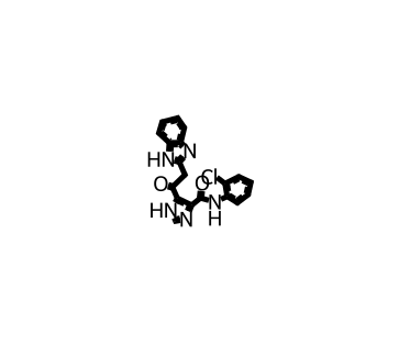 O=C(Nc1ccccc1Cl)c1nc[nH]c1C(=O)Cc1nc2ccccc2[nH]1